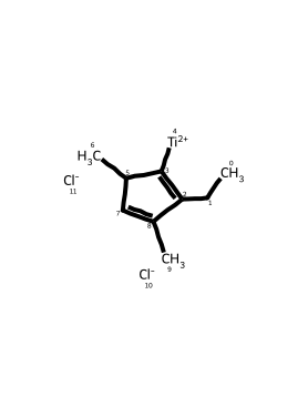 CCC1=[C]([Ti+2])C(C)C=C1C.[Cl-].[Cl-]